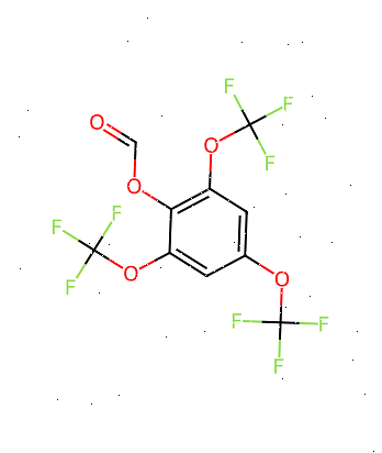 O=COc1c(OC(F)(F)F)cc(OC(F)(F)F)cc1OC(F)(F)F